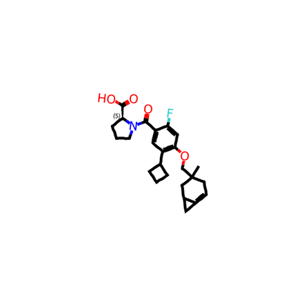 CC1(COc2cc(F)c(C(=O)N3CCC[C@H]3C(=O)O)cc2C2CCC2)CC=C2CC2C1